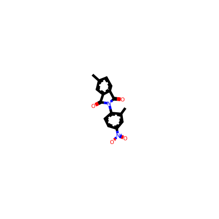 Cc1ccc2c(c1)C(=O)N(c1ccc([N+](=O)[O-])cc1C)C2=O